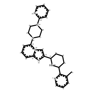 Cc1cccnc1C1CCCC(c2cn3c(N4CCN(c5ccccn5)CC4)cccc3n2)N1